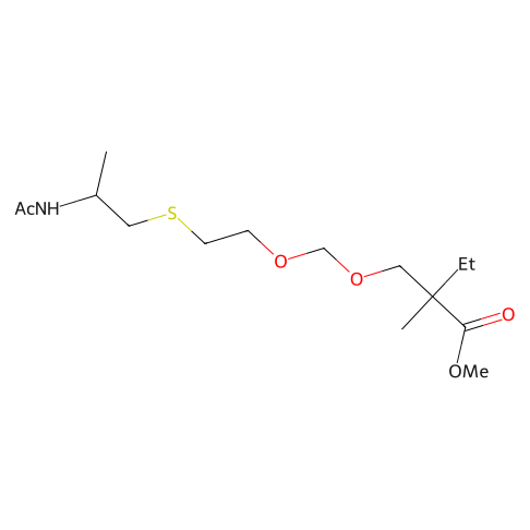 CCC(C)(COCOCCSCC(C)NC(C)=O)C(=O)OC